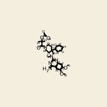 COc1cc2nc(N(C)CC3(c4ccccc4)CCN(C(=O)C(C)(C)OC(C)=O)CC3)nc(N)c2cc1OC